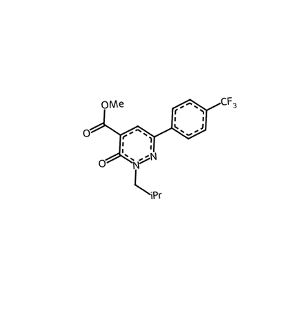 COC(=O)c1cc(-c2ccc(C(F)(F)F)cc2)nn(CC(C)C)c1=O